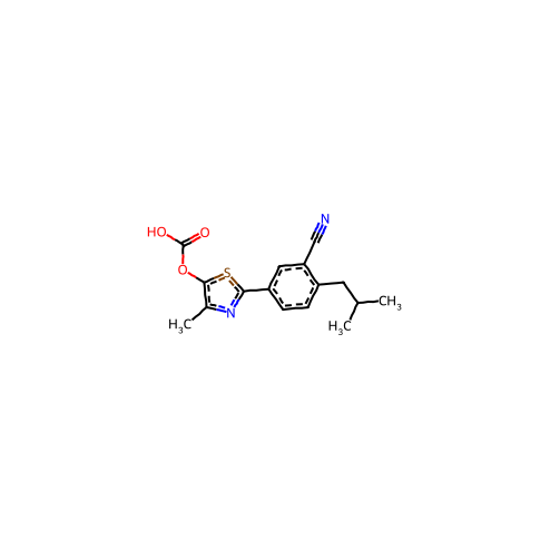 Cc1nc(-c2ccc(CC(C)C)c(C#N)c2)sc1OC(=O)O